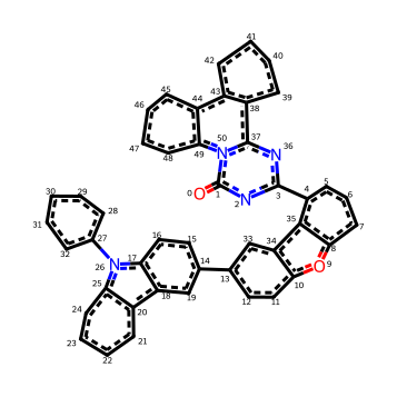 O=c1nc(-c2cccc3oc4ccc(-c5ccc6c(c5)c5ccccc5n6-c5ccccc5)cc4c23)nc2c3ccccc3c3ccccc3n12